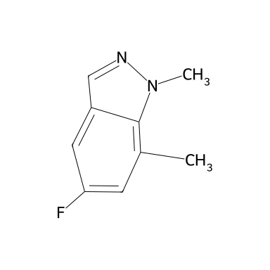 Cc1cc(F)cc2cnn(C)c12